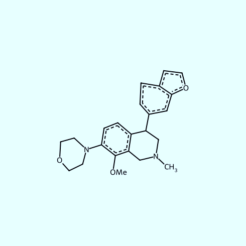 COc1c(N2CCOCC2)ccc2c1CN(C)CC2c1ccc2ccoc2c1